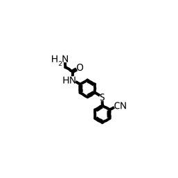 N#Cc1ccccc1Sc1ccc(NC(=O)CN)cc1